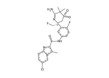 Cc1c(C(=O)Nc2ccc(F)c([C@]3(CF)CS(=O)(=O)C(C)(C)C(N)=N3)c2)nc2ccc(Cl)cn12